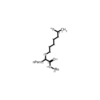 CCCCCC(SCCCCCC(C)F)C(=O)OC(C)(C)C